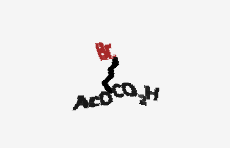 CC(=O)OC(CCCCBr)C(=O)O